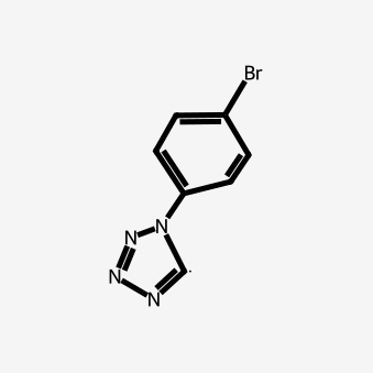 Brc1ccc(-n2[c]nnn2)cc1